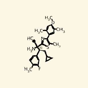 C#CC(N)(c1nc(-c2cc(C)c(OC)cc2C)c(C)s1)[C@@H](CC1CC1)c1ccc(C)c(F)c1